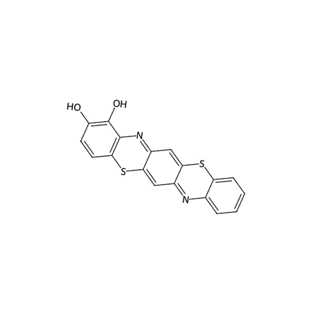 Oc1ccc2c(c1O)N=c1cc3c(cc1S2)=Nc1ccccc1S3